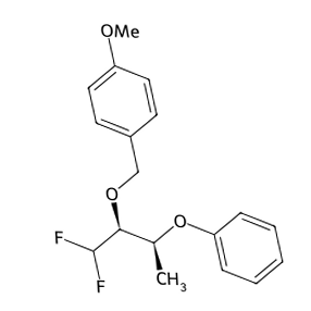 COc1ccc(CO[C@H](C(F)F)[C@H](C)Oc2ccccc2)cc1